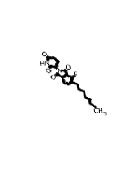 CCCCCCCCc1ccc2c(c1F)C(=O)N(C1CCC(=O)NC1=O)C2=O